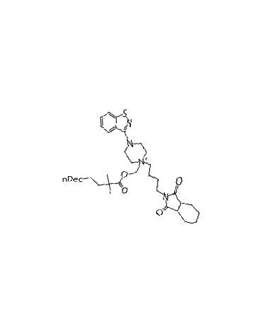 CCCCCCCCCCCCC(C)(C)C(=O)OC[N+]1(CCCCN2C(=O)C3CCCCC3C2=O)CCN(c2nsc3ccccc23)CC1